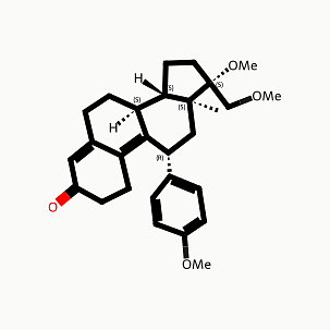 COC[C@]1(OC)CC[C@H]2[C@@H]3CCC4=CC(=O)CCC4=C3[C@@H](c3ccc(OC)cc3)C[C@@]21C